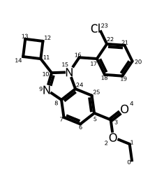 CCOC(=O)c1ccc2nc(C3CCC3)n(Cc3ccccc3Cl)c2c1